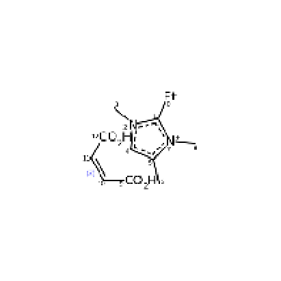 CCc1n(C)cc(C)[n+]1C.O=C(O)/C=C\C(=O)O